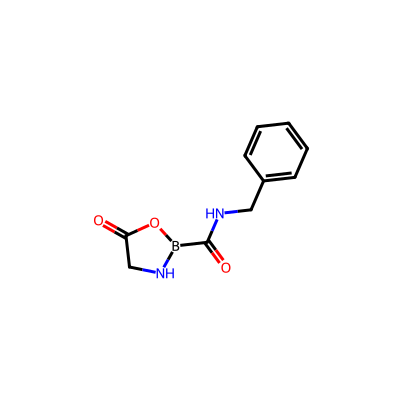 O=C1CNB(C(=O)NCc2ccccc2)O1